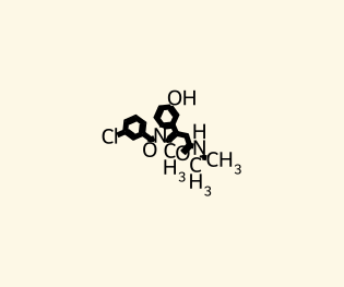 Cc1c(CC(=O)NC(C)C)c2cc(O)ccc2n1C(=O)c1cccc(Cl)c1